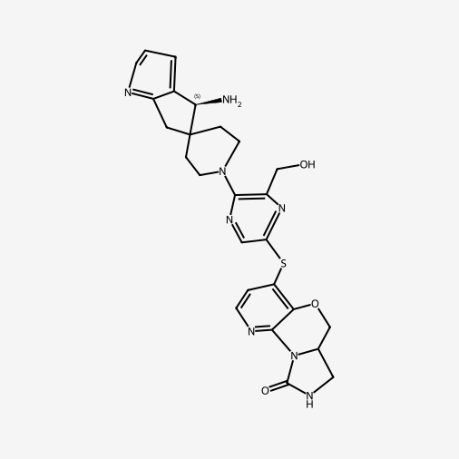 N[C@@H]1c2cccnc2CC12CCN(c1ncc(Sc3ccnc4c3OCC3CNC(=O)N43)nc1CO)CC2